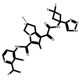 Cc1c(C(=O)C(=O)NC2(c3c[nH]nn3)CC(F)(F)C2)c2n(c1C(=O)Nc1ccnc(C(F)F)c1F)C[C@H](F)C2